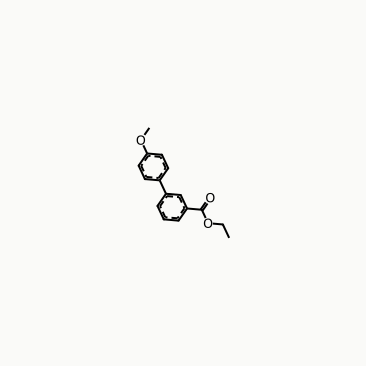 CCOC(=O)c1cccc(-c2ccc(OC)cc2)c1